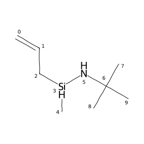 C=CC[SiH](C)NC(C)(C)C